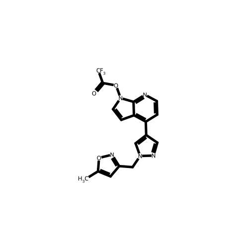 Cc1cc(Cn2cc(-c3ccnc4c3ccn4OC(=O)C(F)(F)F)cn2)no1